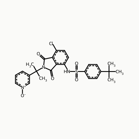 CC(C)(C)c1ccc(S(=O)(=O)Nc2ccc(Cl)c3c2C(=O)N(C(C)(C)c2ccc[n+]([O-])c2)C3=O)cc1